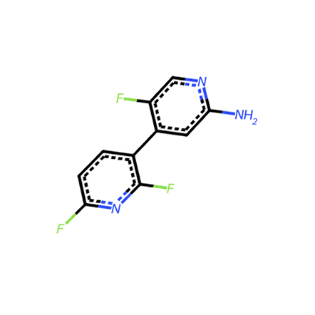 Nc1cc(-c2ccc(F)nc2F)c(F)cn1